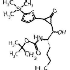 CCCC[C@H](NC(=O)OC(C)(C)C)C(O)C1C(=O)C1c1ccc([Si](C)(C)C)s1